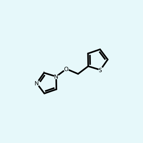 [c]1nccn1OCc1cccs1